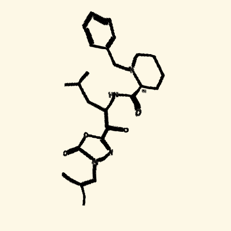 CC(C)CC(NC(=O)[C@@H]1CCCCN1Cc1ccccc1)C(=O)c1nn(CC(C)C)c(=O)o1